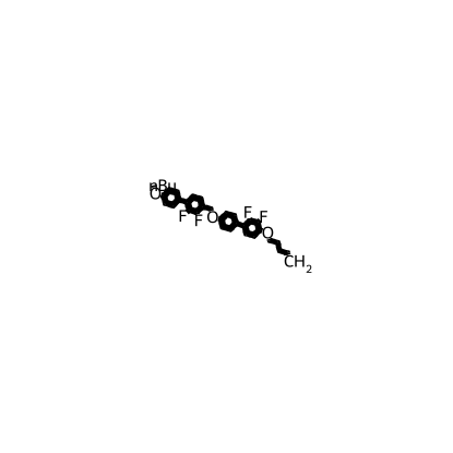 C=CCCCOc1ccc(-c2ccc(OCc3ccc(-c4ccc(OCCCC)cc4)c(F)c3F)cc2)c(F)c1F